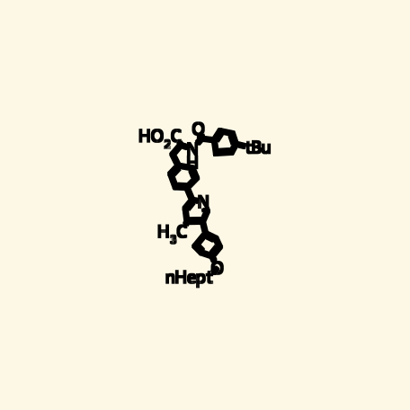 CCCCCCCOc1ccc(-c2cnc(-c3ccc(CC(NC(=O)c4ccc(C(C)(C)C)cc4)C(=O)O)cc3)cc2C)cc1